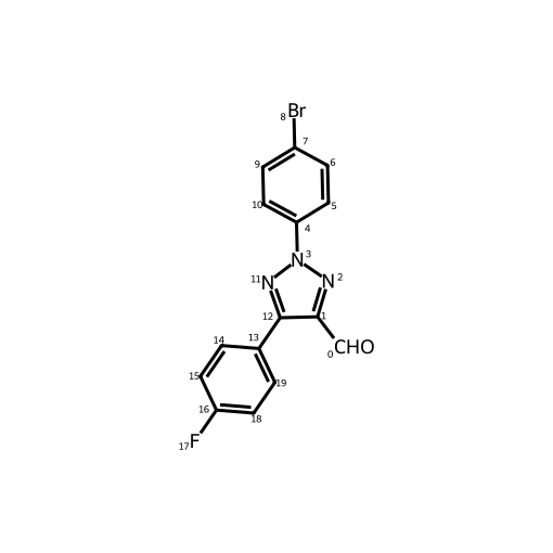 O=Cc1nn(-c2ccc(Br)cc2)nc1-c1ccc(F)cc1